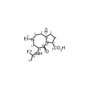 CCN1CC[C@H]2CC[C@@H](C(=O)O)N2C(=O)[C@@H](NC(C)F)C1